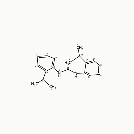 CC(C)c1ccccc1NCNc1ccccc1C(C)C